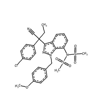 CCC(C#N)(c1ccc(Cl)cc1)c1nn(Cc2ccc(OC)cc2)c2c(N(S(C)(=O)=O)S(C)(=O)=O)cccc12